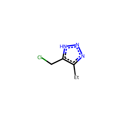 CCc1nn[nH]c1CCl